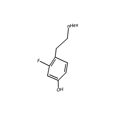 CCCCCCCCc1ccc(O)cc1F